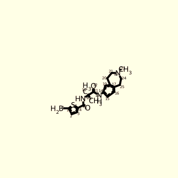 Bc1ccc(C(=O)NC(C)(C)C(=O)Nc2ccc3c(c2)CCN(C)CC3)s1